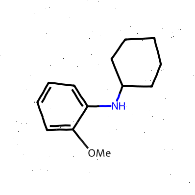 COc1c[c]ccc1NC1CCCCC1